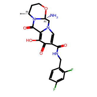 C[C@@H]1CCO[C@@]2(N)Cn3cc(C(=O)NCc4ccc(F)cc4F)c(=O)c(O)c3C(=O)N12